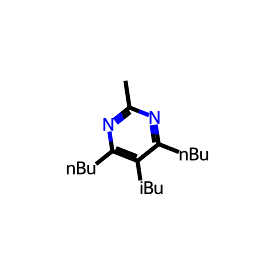 CCCCc1nc(C)nc(CCCC)c1C(C)CC